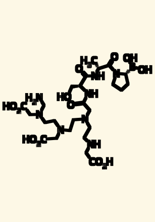 C[C@@H](NC(=O)[C@H](CO)NC(=O)CN(CCNCC(=O)O)CCN(CCN(CN)CC(=O)O)CC(=O)O)C(=O)N1CCC[C@H]1B(O)O